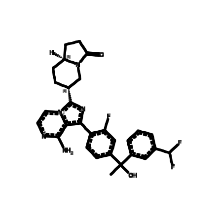 CC(O)(c1cccc(C(F)F)c1)c1ccc(-c2nc([C@@H]3CC[C@H]4CCC(=O)N4C3)n3ccnc(N)c23)c(F)c1